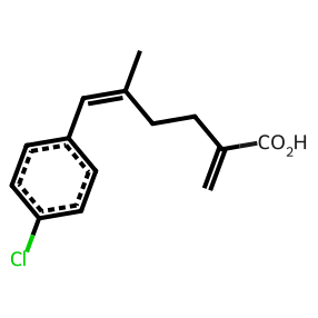 C=C(CCC(C)=Cc1ccc(Cl)cc1)C(=O)O